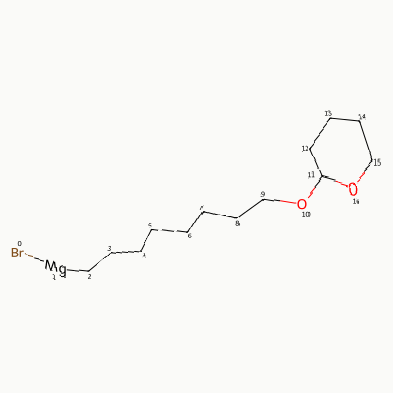 [Br][Mg][CH2]CCCCCCCOC1CCCCO1